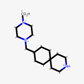 O=C(O)N1CCN(CC2CCC3(CCNCC3)CC2)CC1